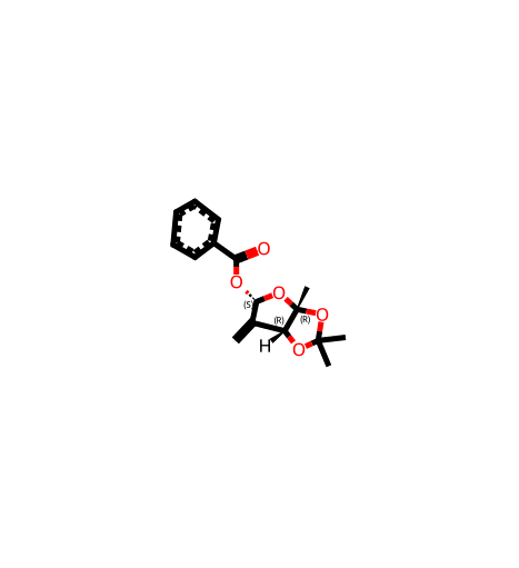 C=C1[C@H](OC(=O)c2ccccc2)O[C@]2(C)OC(C)(C)O[C@H]12